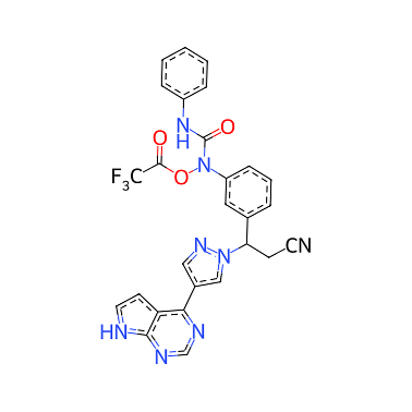 N#CCC(c1cccc(N(OC(=O)C(F)(F)F)C(=O)Nc2ccccc2)c1)n1cc(-c2ncnc3[nH]ccc23)cn1